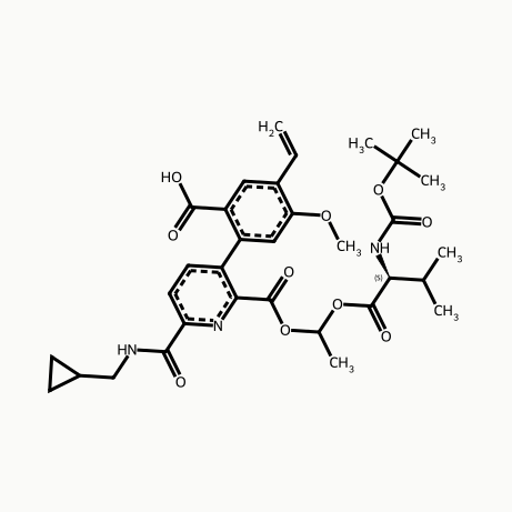 C=Cc1cc(C(=O)O)c(-c2ccc(C(=O)NCC3CC3)nc2C(=O)OC(C)OC(=O)[C@@H](NC(=O)OC(C)(C)C)C(C)C)cc1OC